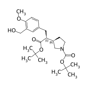 COc1ccc(C[C@H](C(=O)OC(C)(C)C)[C@H]2CCN(C(=O)OC(C)(C)C)C2)cc1CO